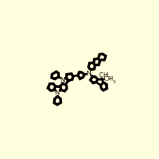 CC1(C)c2ccccc2-c2ccc(N(c3ccc(-c4ccc5c(c4)c4ccc6c(c7ccccc7n6-c6ccccc6)c4n5-c4ccccc4)cc3)c3ccc4cc5ccccc5cc4c3)cc21